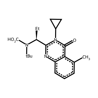 CC[C@@H](c1nc2cccc(C)c2c(=O)n1C1CC1)N(C(=O)O)C(C)(C)C